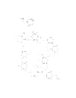 C/N=C/c1cncc(COc2cc(OCc3cccc(-c4cccc(COc5cc(OCc6cncc(/C=N/C)c6)c(CN[C@H](C(=O)O)[C@@H](C)OCc6ccccc6)cc5Cl)c4C)c3C)c(Cl)cc2CN[C@@H](COC(C)c2ccccc2)C(=O)O)c1